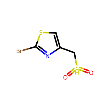 O=[SH](=O)Cc1csc(Br)n1